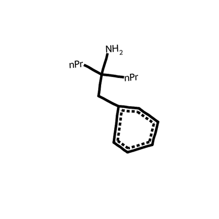 CCCC(N)(CCC)Cc1ccccc1